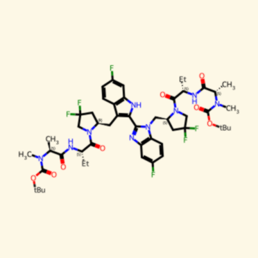 CC[C@H](NC(=O)[C@H](C)N(C)C(=O)OC(C)(C)C)C(=O)N1CC(F)(F)C[C@H]1Cc1c(-c2nc3cc(F)ccc3n2C[C@@H]2CC(F)(F)CN2C(=O)[C@H](CC)NC(=O)[C@H](C)N(C)C(=O)OC(C)(C)C)[nH]c2cc(F)ccc12